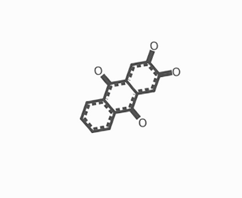 O=c1cc2c(=O)c3ccccc3c(=O)c-2cc1=O